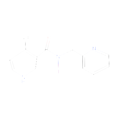 O=C(C1=C(C(F)(F)F)C=CNC1)N(I)Cc1ccccn1